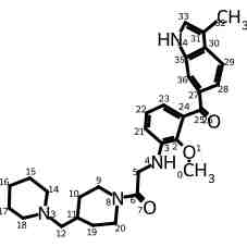 COc1c(NCC(=O)N2CCC(CN3CCCCC3)CC2)cccc1C(=O)c1ccc2c(C)c[nH]c2c1